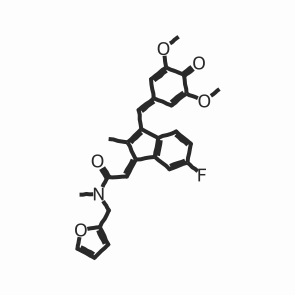 COC1=CC(=CC2=C(C)C(=CC(=O)N(C)Cc3ccco3)c3cc(F)ccc32)C=C(OC)C1=O